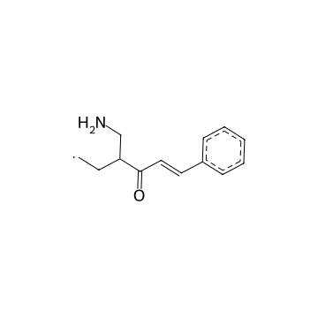 [CH2]CC(CN)C(=O)C=Cc1ccccc1